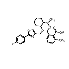 Cc1cccc(COC(C)C2CCCCC2OCc2coc(-c3ccc(F)cc3)n2)c1C(=O)O